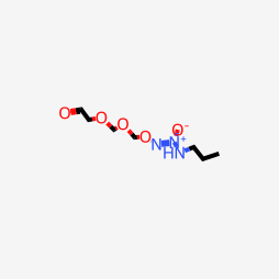 CCCN/[N+]([O-])=N/OCOCOCC=O